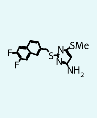 CSc1cc(N)nc(SCc2ccc3cc(F)c(F)cc3c2)n1